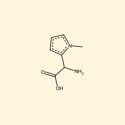 Cn1cccc1C(N)C(=O)O